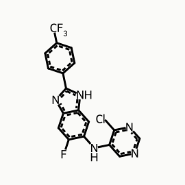 Fc1cc2nc(-c3ccc(C(F)(F)F)cc3)[nH]c2cc1Nc1cncnc1Cl